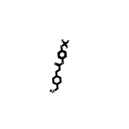 CCC1CCC(CCC(=O)Oc2ccc(OC(F)(F)F)cc2)CC1